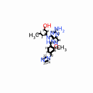 CCC[C@@H](CCO)Nc1nc(N)nc2cnn(Cc3ccc(Cn4ccnc4)cc3OC)c12